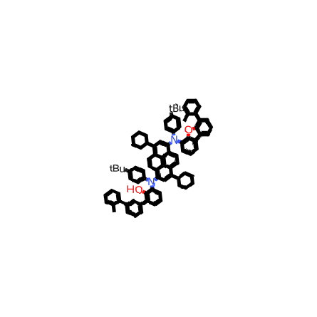 Cc1ccccc1-c1cccc(-c2cccc(N(c3ccc(C(C)(C)C)cc3)c3cc(C4CCCCC4)c4ccc5c(N(c6ccc(C(C)(C)C)cc6)c6cccc7c6oc6c(-c8ccccc8C)cccc67)cc(C6CCCCC6)c6ccc3c4c65)c2O)c1